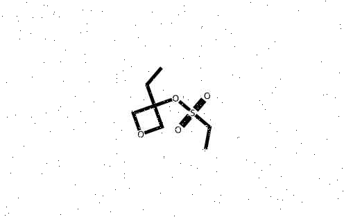 CCC1(OS(=O)(=O)CC)COC1